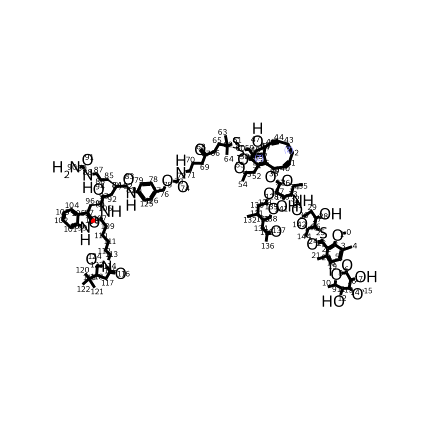 COc1c(C)c(OC2OC(C)C(O)C(OC)C2O)c(I)c(C)c1C(=O)SC1C(O)CC(ONC2C(C)OC(O[C@H]3C#C/C=C\C#C[C@]4(O)CC(=O)C(CC(C)=O)=C3/C4=C/CSSC(C)(C)CCC(=O)CCCNC(=O)OCc3ccc(NC(=O)[C@H](CCCNC(N)=O)CC(=O)[C@H](Cc4c[nH]c5ccccc45)NC(=O)CCCCCN4C(=O)CC(C(C)(C)C)C4=O)cc3)C(OC3CC(C)C(CC(C)=O)CO3)C2O)OC1C